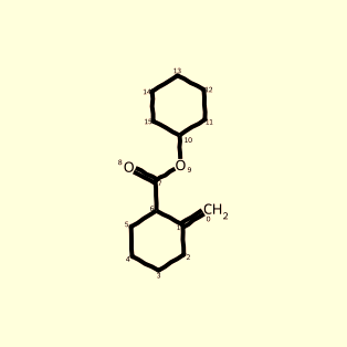 C=C1CCCCC1C(=O)OC1CCCCC1